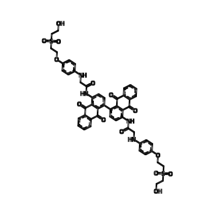 O=C(CNc1ccc(OCCS(=O)(=O)CCO)cc1)Nc1ccc(-c2ccc(NC(=O)CNc3ccc(OCCS(=O)(=O)CCO)cc3)c3c2C(=O)c2ccccc2C3=O)c2c1C(=O)c1ccccc1C2=O